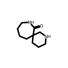 O=C1NCCCCC12CCCNC2